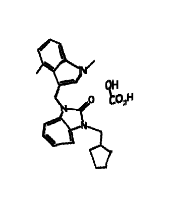 Cc1cccc2c1c(Cn1c(=O)n(CC3CCCC3)c3ccccc31)cn2C.O=C(O)O